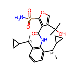 C[C@H](c1cccc([C@@H](C)C2CC2)c1NC(=O)c1c(C(C)(C)O)coc1S(N)(=O)=O)C1CC1